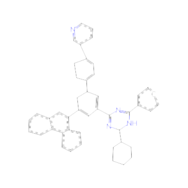 C1=C(C2=NC(C3CCCCC3)NC(c3ccccc3)=N2)C=C(c2cc3ccccc3c3ccccc23)CC1C1=CC=C(c2cccnc2)CC1